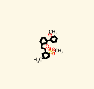 COc1ccccc1-c1cccc2c1OC(c1cc(C)ccc1S(=O)(=O)OC)C2